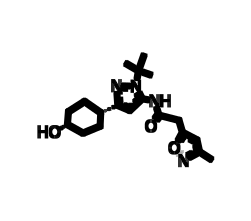 Cc1cc(CC(=O)Nc2cc([C@H]3CC[C@@H](O)CC3)nn2C(C)(C)C)on1